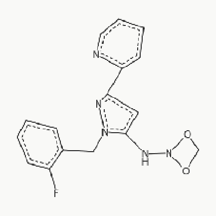 Fc1ccccc1Cn1nc(-c2ccccn2)cc1NN1OCO1